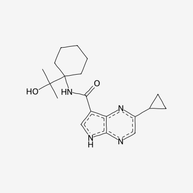 CC(C)(O)C1(NC(=O)c2c[nH]c3ncc(C4CC4)nc23)CCCCC1